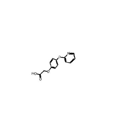 O=C(O)COc1ccc(Oc2ccccn2)cc1